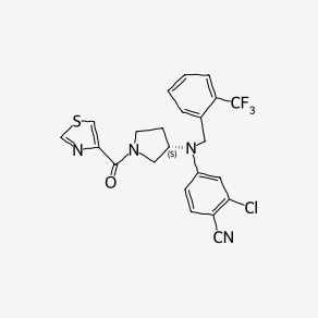 N#Cc1ccc(N(Cc2ccccc2C(F)(F)F)[C@H]2CCN(C(=O)c3cscn3)C2)cc1Cl